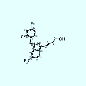 OCCC=Cc1nn(Cc2ccc(F)cc2Cl)c2cc(C(F)(F)F)ccc12